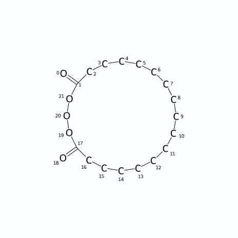 O=C1CCCCCCCCCCCCCCCC(=O)OOO1